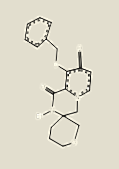 CCN1C(=O)c2c(OCc3ccccc3)c(=O)ccn2CC12CCCOC2